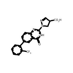 O=C(O)C1C=NN(c2nc3ccc(-c4ccccc4C(F)(F)F)cc3c(=O)[nH]2)C1